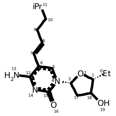 CC[C@H]1O[C@@H](n2cc(/C=C/CCC(C)C)c(N)nc2=O)CC1O